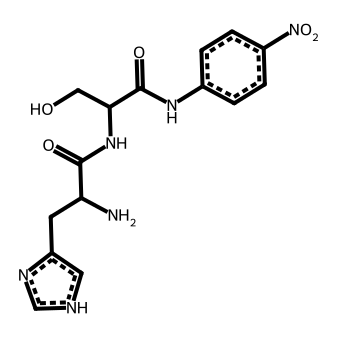 NC(Cc1c[nH]cn1)C(=O)NC(CO)C(=O)Nc1ccc([N+](=O)[O-])cc1